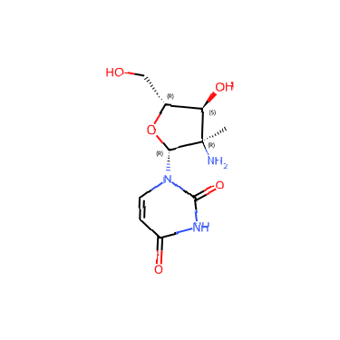 C[C@@]1(N)[C@H](O)[C@@H](CO)O[C@H]1n1ccc(=O)[nH]c1=O